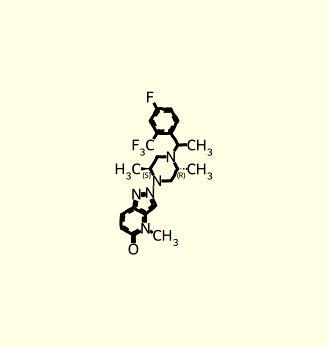 CC(c1ccc(F)cc1C(F)(F)F)N1C[C@H](C)N(n2cc3c(ccc(=O)n3C)n2)C[C@H]1C